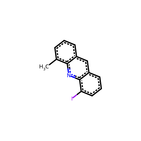 Cc1cccc2cc3cccc(I)c3nc12